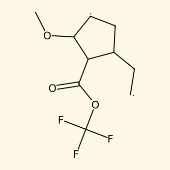 [CH2]CC1C[CH]C(OC)C1C(=O)OC(F)(F)F